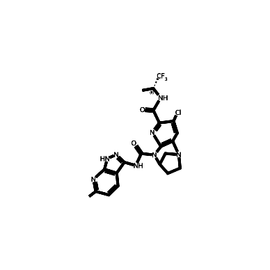 Cc1ccc2c(NC(=O)N3c4nc(C(=O)N[C@H](C)C(F)(F)F)c(Cl)cc4N4CCC3C4)n[nH]c2n1